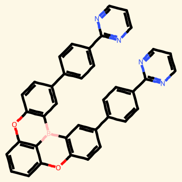 c1cnc(-c2ccc(-c3ccc4c(c3)B3c5cc(-c6ccc(-c7ncccn7)cc6)ccc5Oc5cccc(c53)O4)cc2)nc1